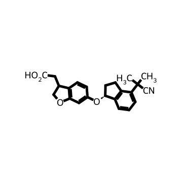 CC(C)(C#N)c1cccc2c1CC[C@H]2Oc1ccc2c(c1)OCC2CC(=O)O